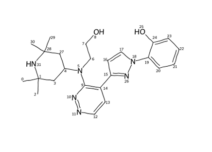 CC1(C)CC(N(CCO)c2nnccc2-c2ccn(-c3ccccc3O)n2)CC(C)(C)N1